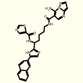 Nc1c(C(=O)NCCCCC(NC(=O)c2cncs2)c2ncc(-c3ccc4ccccc4c3)[nH]2)cnc2ccnn12